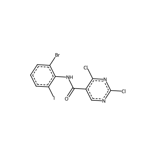 O=C(Nc1c(Br)cccc1I)c1cnc(Cl)nc1Cl